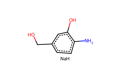 Nc1ccc(CO)cc1O.[NaH]